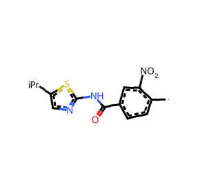 [CH2]c1ccc(C(=O)Nc2ncc(C(C)C)s2)cc1[N+](=O)[O-]